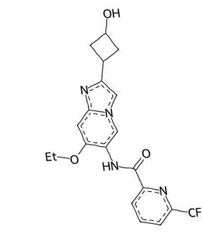 CCOc1cc2nc(C3CC(O)C3)cn2cc1NC(=O)c1cccc(C(F)(F)F)n1